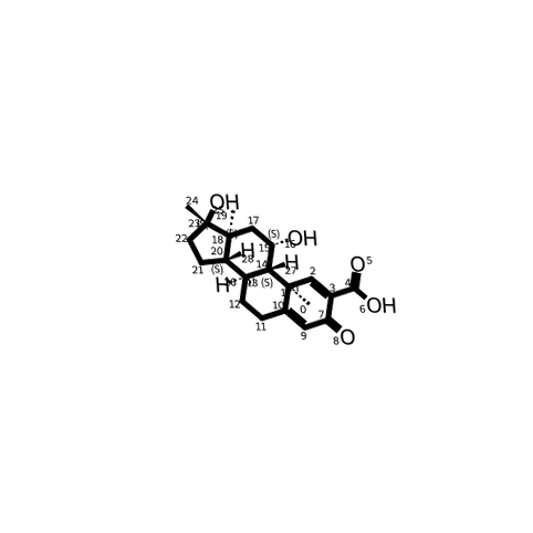 C[C@]12C=C(C(=O)O)C(=O)C=C1CC[C@@H]1[C@@H]2[C@@H](O)C[C@@]2(C)[C@H]1CC[C@]2(C)O